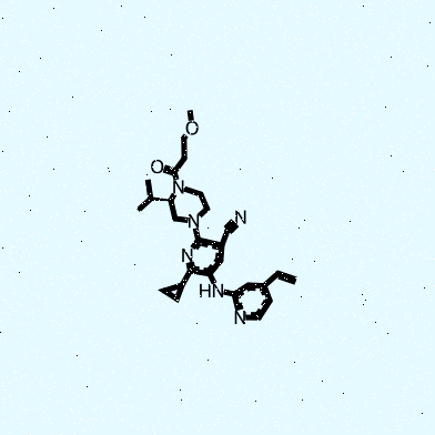 C=Cc1ccnc(Nc2cc(C#N)c(N3CCN(C(=O)CCOC)[C@H](C(C)C)C3)nc2C2CC2)c1